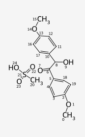 COc1ccc(C(=O)C(O)c2ccc(OC)cc2)cc1.CS(=O)(=O)O